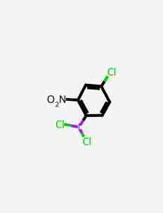 O=[N+]([O-])c1cc(Cl)ccc1I(Cl)Cl